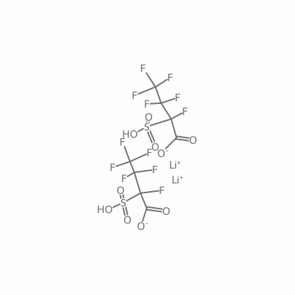 O=C([O-])C(F)(C(F)(F)C(F)(F)F)S(=O)(=O)O.O=C([O-])C(F)(C(F)(F)C(F)(F)F)S(=O)(=O)O.[Li+].[Li+]